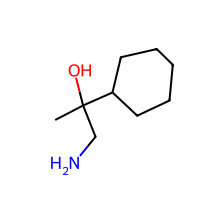 CC(O)(CN)C1CCCCC1